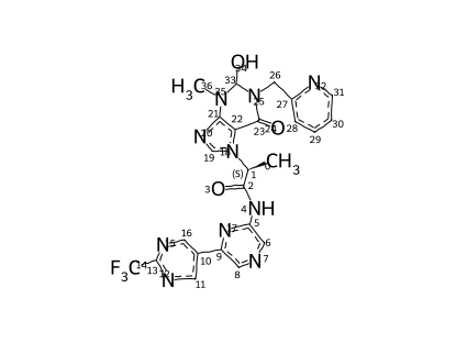 C[C@@H](C(=O)Nc1cncc(-c2cnc(C(F)(F)F)nc2)n1)n1cnc2c1C(=O)N(Cc1ccccn1)C(O)N2C